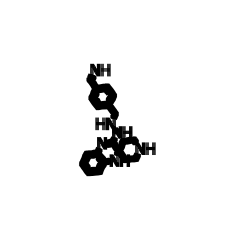 N=Cc1ccc(CNNC2=Nc3ccccc3NC23CCNCC3)cc1